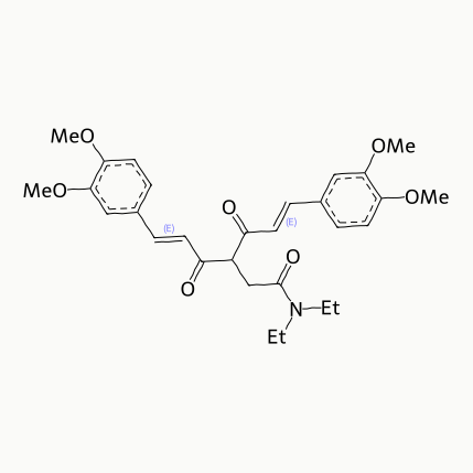 CCN(CC)C(=O)CC(C(=O)/C=C/c1ccc(OC)c(OC)c1)C(=O)/C=C/c1ccc(OC)c(OC)c1